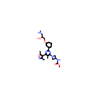 CNCC(O)COc1cccc(-c2nc(-c3c(C)noc3C)c(C)c(N3CC(NC(=O)OC)C3)n2)c1